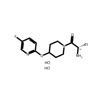 CC[C@H](N)C(=O)N1CCC(Oc2ccc(F)cn2)CC1.Cl.Cl